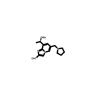 CO[C@H](C)c1cc(CN2CCCC2)cn2cc(C=O)nc12